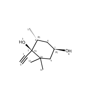 C#C[C@]1(O)[C@H](C)C[C@@H](O)CC1(C)C